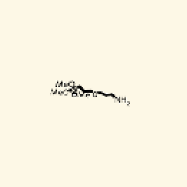 CO[Si](CCCOCCCN)(OC)OC